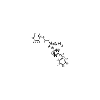 N.c1ccc(CCCN2CC(c3nc(Cc4ccccc4)no3)C2)cc1